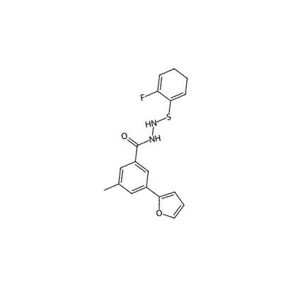 Cc1cc(C(=O)NNSC2=CCCC=C2F)cc(-c2ccco2)c1